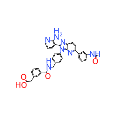 CC(=O)Nc1cccc(-c2ccc3nc(-c4cccnc4N)n(-c4ccc(CNC(=O)c5cccc(CC(=O)O)c5)cc4)c3n2)c1